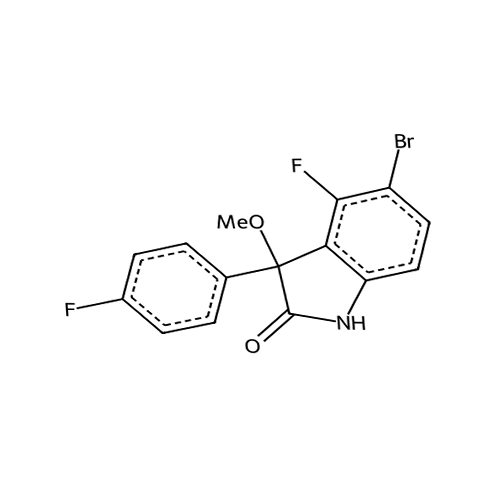 COC1(c2ccc(F)cc2)C(=O)Nc2ccc(Br)c(F)c21